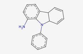 Nc1cccc2c1N(c1ccccc1)C1C=CC=CC21